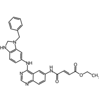 CCOC(=O)C=CC(=O)Nc1ccc2ncnc(Nc3ccc4c(c3)N(Cc3ccccc3)CN4)c2c1